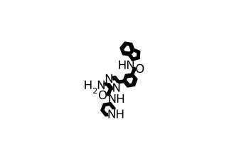 Nc1ncc(-c2cccc(C(=O)N[C@H]3CCc4ccccc43)c2)nc1C(=O)N[C@H]1CCCNC1